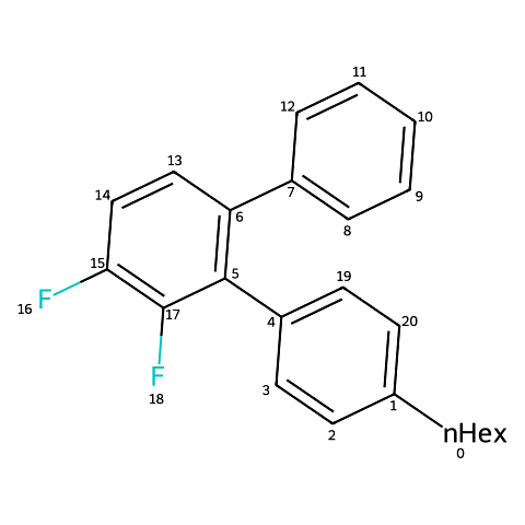 CCCCCCc1ccc(-c2c(-c3ccccc3)ccc(F)c2F)cc1